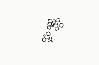 CC1(C)c2ccccc2Oc2cc(-c3cccc(N(c4ccccc4C4(c5ccccc5)c5ccccc5-c5cc6ccccc6cc54)c4cccc5ccccc45)c3)ccc21